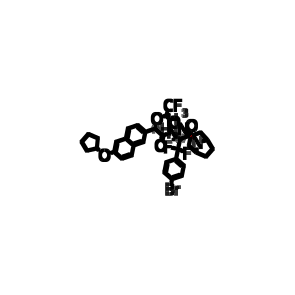 NC1CC2CCC(C1)N2C(=O)[C@H](NC(=O)[C@H](OC(=O)C(F)(F)F)c1ccc2cc(OC3CCCC3)ccc2c1)C(F)(F)c1ccc(Br)cc1